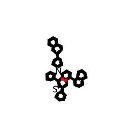 c1ccc(N(c2ccc(-c3ccc4ccccc4c3)cc2)c2ccc(-c3cccc4ccccc34)cc2)c(-c2cccc3c2sc2ccccc23)c1